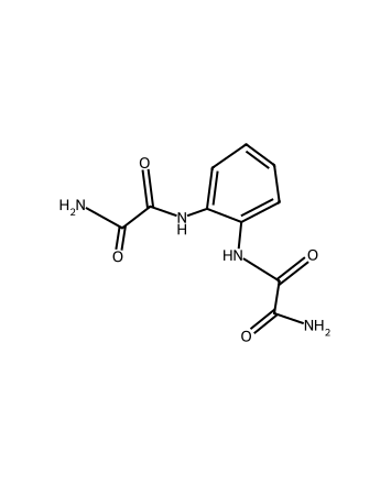 NC(=O)C(=O)Nc1ccccc1NC(=O)C(N)=O